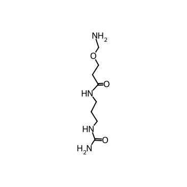 NCOCCC(=O)NCCCNC(N)=O